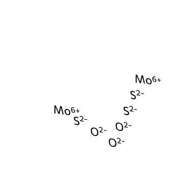 [Mo+6].[Mo+6].[O-2].[O-2].[O-2].[S-2].[S-2].[S-2]